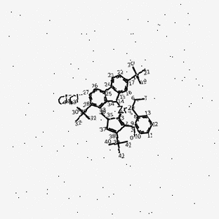 CCC1=[C](/[Zr+2](=[C](/CC)c2ccccc2)[CH]2c3cc(C(C)(C)C)ccc3-c3ccc(C(C)(C)C)cc32)C(C)C=C1C(C)(C)C.[Cl-].[Cl-]